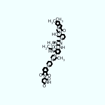 C=CC(=O)Nc1cc(Nc2nc(N3CCCC(N4CCn5c(cc6c5CC(C)(C)C6)C4=O)C3CO)cn(C)c2=O)ccc1N1CCN(C2CCN(c3ccc4c(c3)C(=O)N(C3CCC(=O)NC3=O)C4=O)CC2)C[C@@H]1C